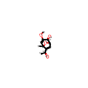 COC1=CC2(C)OC(C=C2C(C)=O)C1=O